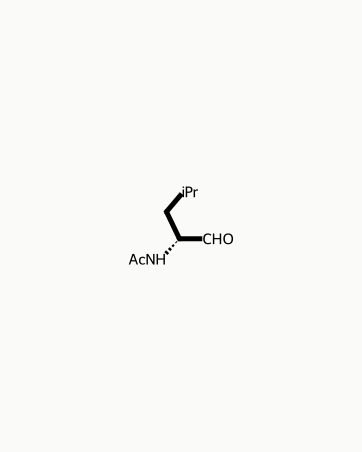 CC(=O)N[C@@H](C=O)CC(C)C